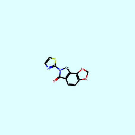 O=c1c2ccc3c(c2[se]n1-c1nccs1)OCO3